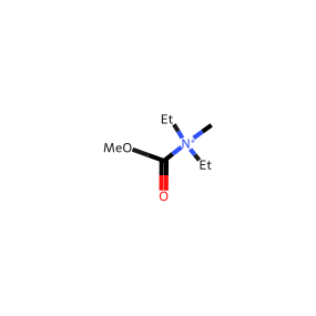 CC[N+](C)(CC)C(=O)OC